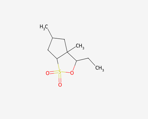 CCC1OS(=O)(=O)C2CC(C)CC12C